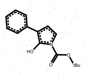 CC(C)(C)OC(=O)n1ccc(-c2ccccc2)c1O